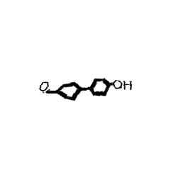 O=[C]c1ccc(-c2ccc(O)cc2)cc1